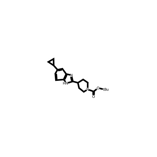 CC(C)(C)OC(=O)N1CCC(c2nc3cc(C4CC4)ccc3[nH]2)CC1